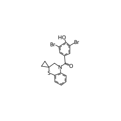 O=C(c1cc(Br)c(O)c(Br)c1)N1CC2(CC2)Sc2ccccc21